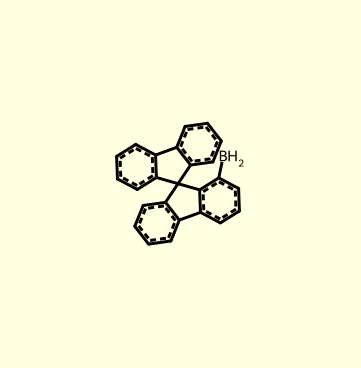 Bc1cccc2c1C1(c3ccccc3-c3ccccc31)c1ccccc1-2